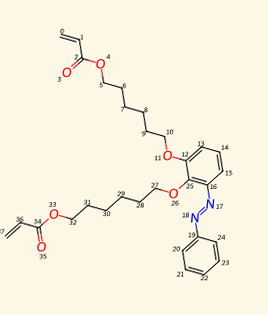 C=CC(=O)OCCCCCCOc1cccc(N=Nc2ccccc2)c1OCCCCCCOC(=O)C=C